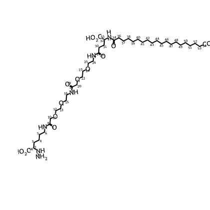 NN[C@@H](CCCCNC(=O)COCCOCCNC(=O)COCCOCCNC(=O)CC[C@H](NC(=O)CCCCCCCCCCCCCCCCCCC(=O)O)C(=O)O)C(=O)O